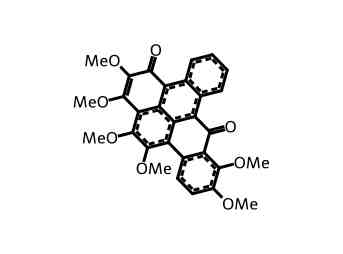 COC1=C(OC)c2c(OC)c(OC)c3c4c(c5ccccc5c(c24)C1=O)C(=O)c1c-3ccc(OC)c1OC